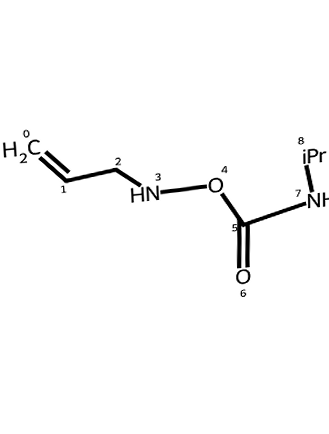 C=CCNOC(=O)NC(C)C